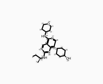 CC[C@H](C)Nc1ncc2c(NC3CCOCC3)ncc([C@H]3CC[C@H](O)CC3)c2n1